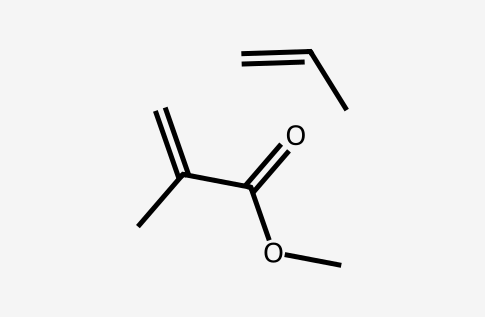 C=C(C)C(=O)OC.C=CC